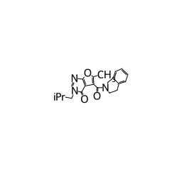 Cc1oc2ncn(CC(C)C)c(=O)c2c1C(=O)N1CCc2ccccc2C1